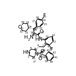 C[C@@H]1CNC[C@H](CCc2c(F)cccc2NC(=O)[C@@H](N)[C@@H](c2ccc(F)cc2)C2CCOCC2)N1S(=O)(=O)c1ccccc1